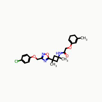 CC1=CC(OCC(=O)NC2(C)CC(C)(c3nc(COc4ccc(Cl)cc4)no3)C2)=CCC1